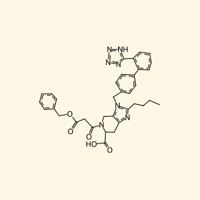 CCCCc1nc2c(n1Cc1ccc(-c3ccccc3-c3nnn[nH]3)cc1)CN(C(=O)CC(=O)OCc1ccccc1)C(C(=O)O)C2